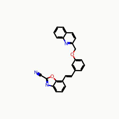 N#Cc1nc2cccc(C=Cc3cccc(OCc4ccc5ccccc5n4)c3)c2o1